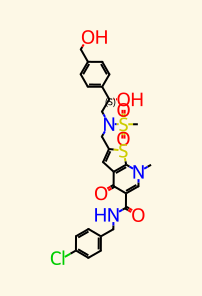 Cn1cc(C(=O)NCc2ccc(Cl)cc2)c(=O)c2cc(CN(C[C@@H](O)c3ccc(CO)cc3)S(C)(=O)=O)sc21